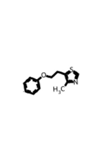 Cc1ncsc1CCOc1cc[c]cc1